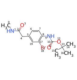 CNC(=O)Cc1ccc(NC(=O)OC(C)(C)C)c(Br)c1